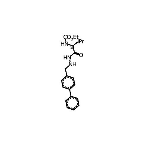 CCOC(=O)N[C@H](C(=O)NNCc1ccc(-c2ccccc2)cc1)C(C)C